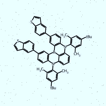 Cc1cc(C(C)(C)C)cc(C)c1N1c2ccc(-c3ccc4sccc4c3)cc2B2c3cc(-c4ccc5sccc5c4)ccc3N(c3c(C)cc(C(C)(C)C)cc3C)c3cccc1c32